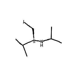 CC(C)N[C@H](CI)C(C)C